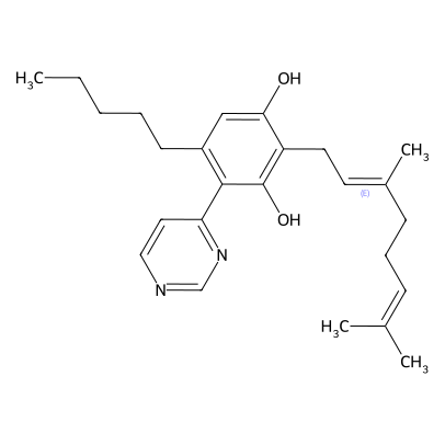 CCCCCc1cc(O)c(C/C=C(\C)CCC=C(C)C)c(O)c1-c1ccncn1